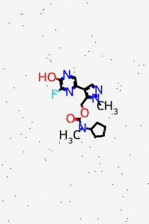 CN(C(=O)OCc1c(-c2cnc(O)c(F)n2)cnn1C)C1CCCC1